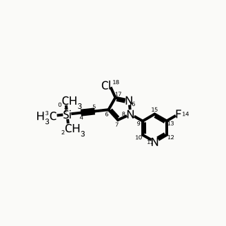 C[Si](C)(C)C#Cc1cn(-c2cncc(F)c2)nc1Cl